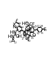 Cc1cnc2c(NC(=O)NC3CC3)cc(C(=O)NCC(O)(c3cc4c(c(-c5ccc(F)cc5)n3)OC[C@@]4(C(N)=O)C3CC3)C(F)(F)F)cc2c1